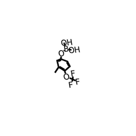 Cc1cc(OB(O)O)ccc1OC(F)(F)F